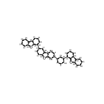 c1cc(-c2cnc3c(n2)oc2ccc(-c4cccc5c4oc4ccccc45)cc23)cc(-c2cccc3c2oc2ccccc23)c1